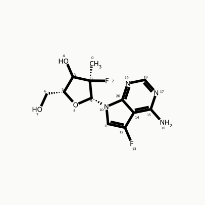 C[C@@]1(F)C(O)[C@@H](CO)O[C@H]1n1cc(F)c2c(N)ncnc21